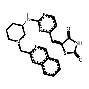 O=C1NC(=O)C(=Cc2ccnc(N[C@H]3CCCN(Cc4cc5ccccc5cn4)C3)n2)S1